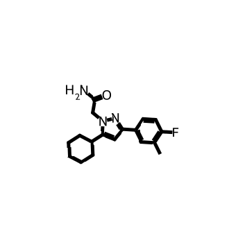 Cc1cc(-c2cc(C3CCCCC3)n(CC(N)=O)n2)ccc1F